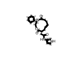 O=C(C[C@@H]1C/C=C/CCC(=O)N[C@H](c2ccccc2)COC1=O)Nc1cc[nH]n1